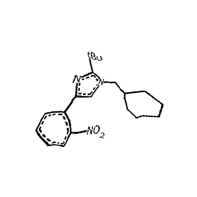 CC(C)(C)c1nc(-c2ccccc2[N+](=O)[O-])cn1CC1CCCCC1